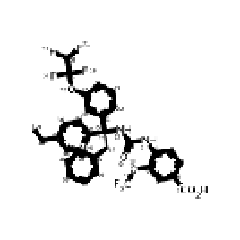 O=C(Nc1ccc(C(=O)O)cc1OC(F)(F)F)N[C@@](Cc1ccccc1)(c1cccc(OC(F)(F)C(F)F)c1)c1ccc(CI)cn1